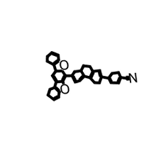 N#CC1=CC=C(C2=CC3=C(CC2)C2=CC=C(C4=c5oc6c(c5=CC5C7=C(C=CCC7)OC45)CCC=C6)CC2CC3)CC1